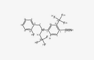 N#Cc1ccc(N(Cc2ccccc2F)CC(F)(F)F)cc1C(F)(F)F